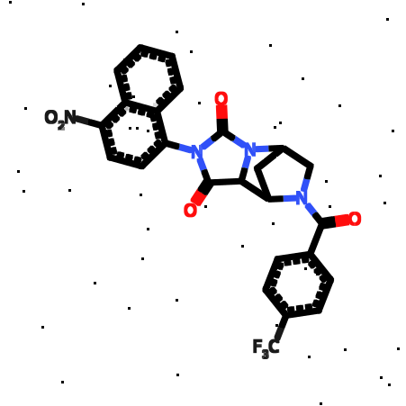 O=C1C2C3CC(CN3C(=O)c3ccc(C(F)(F)F)cc3)N2C(=O)N1c1ccc([N+](=O)[O-])c2ccccc12